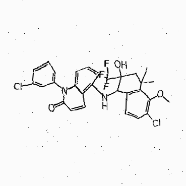 COc1c(Cl)ccc2c1C(C)(C)CC(O)(C(F)(F)F)C2Nc1cccc2c1ccc(=O)n2-c1cccc(Cl)c1